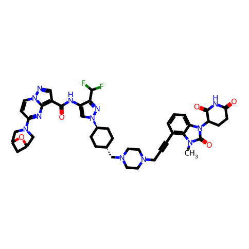 Cn1c(=O)n(C2CCC(=O)NC2=O)c2cccc(C#CCN3CCN(C[C@H]4CC[C@H](n5cc(NC(=O)c6cnn7ccc(N8CC9CC(C8)O9)nc67)c(C(F)F)n5)CC4)CC3)c21